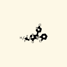 CC(F)(F)Cn1cnc2c(-c3ccc(Cl)nc3)n(-c3ccccc3Cl)nc2c1=O